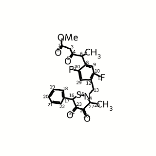 COC(=O)CC(=O)C(C)c1cc(F)c(CN2SC(c3ccccc3)C(=O)C(=O)C2C)cc1F